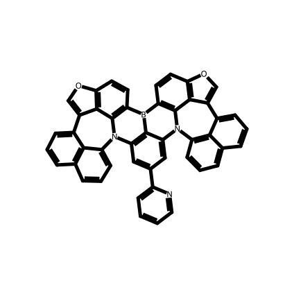 c1ccc(-c2cc3c4c(c2)-n2c5cccc6cccc(c7coc8ccc(c2c87)B4c2ccc4occ7c8cccc9cccc(c98)n-3c2c47)c65)nc1